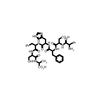 CC(C)CC(NC(=O)C(Cc1c[nH]cn1)NC(=O)C(Cc1ccccc1)NC(=O)C(CC(=O)O)NC(=O)C(N)C(C)C)C(=O)NC(CO)C(=O)NC(C)C(=O)O